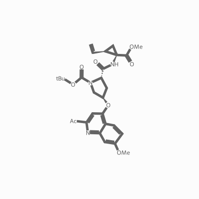 C=C[C@H]1C[C@]1(NC(=O)[C@@H]1C[C@@H](Oc2cc(C(C)=O)nc3cc(OC)ccc23)CN1C(=O)OC(C)(C)C)C(=O)OC